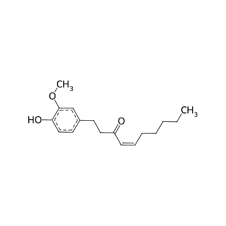 CCCCC/C=C\C(=O)CCc1ccc(O)c(OC)c1